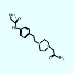 NCC(=O)Nc1ccc(CCN2CCN(CC(N)=O)CC2)cc1